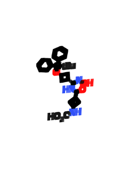 CC(C)(C)[Si](O[C@H]1C[C@@H](C(=NO)NC(=O)C23CC(NC(=O)O)(C2)C3)C1)(c1ccccc1)c1ccccc1